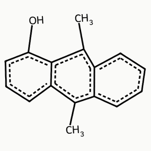 Cc1c2ccccc2c(C)c2c(O)cccc12